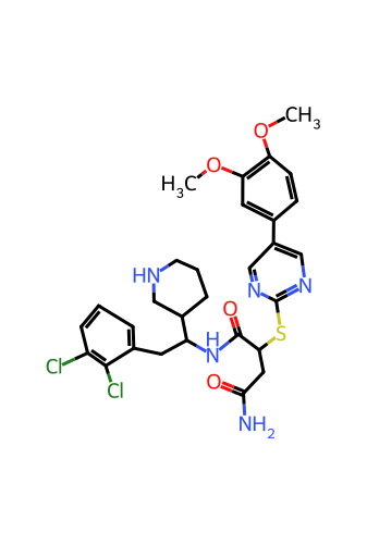 COc1ccc(-c2cnc(SC(CC(N)=O)C(=O)NC(Cc3cccc(Cl)c3Cl)C3CCCNC3)nc2)cc1OC